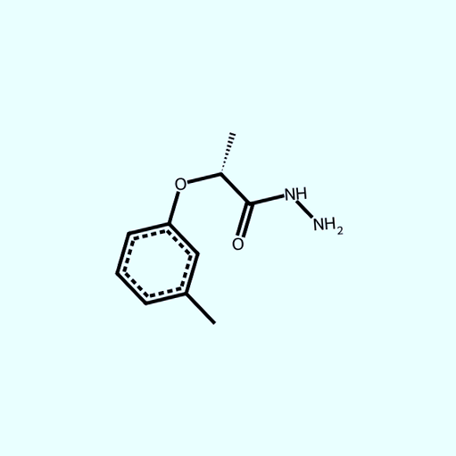 Cc1cccc(O[C@H](C)C(=O)NN)c1